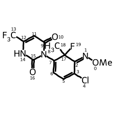 CON=C1C(Cl)=CC=C(n2c(=O)cc(C(F)(F)F)[nH]c2=O)C1(C)F